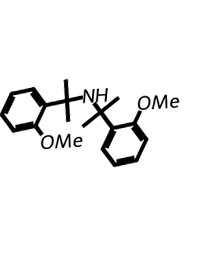 COc1ccccc1C(C)(C)NC(C)(C)c1ccccc1OC